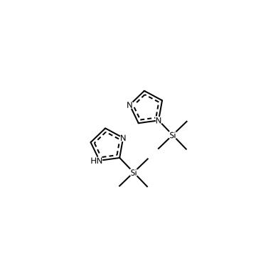 C[Si](C)(C)c1ncc[nH]1.C[Si](C)(C)n1ccnc1